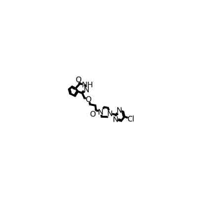 O=C(CCOCc1n[nH]c(=O)c2ccccc12)N1CCN(c2ncc(Cl)cn2)CC1